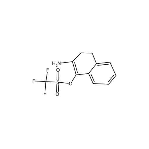 NC1=C(OS(=O)(=O)C(F)(F)F)c2ccccc2CC1